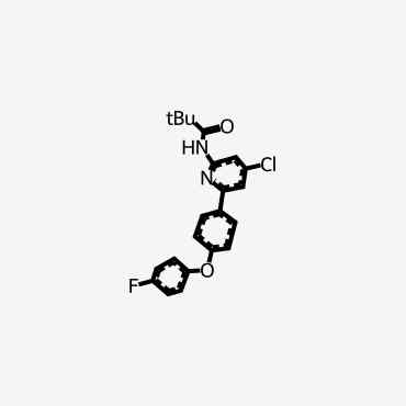 CC(C)(C)C(=O)Nc1cc(Cl)cc(-c2ccc(Oc3ccc(F)cc3)cc2)n1